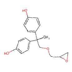 CC(COCC1CO1)(c1ccc(O)cc1)c1ccc(O)cc1